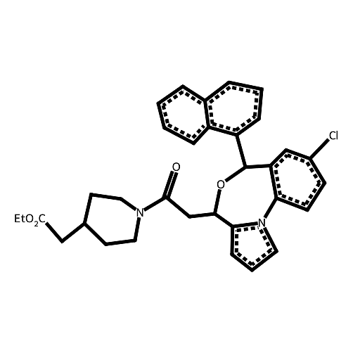 CCOC(=O)CC1CCN(C(=O)CC2OC(c3cccc4ccccc34)c3cc(Cl)ccc3-n3cccc32)CC1